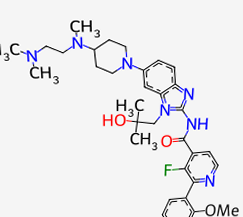 COc1ccccc1-c1nccc(C(=O)Nc2nc3ccc(N4CCC(N(C)CCN(C)C)CC4)cc3n2CC(C)(C)O)c1F